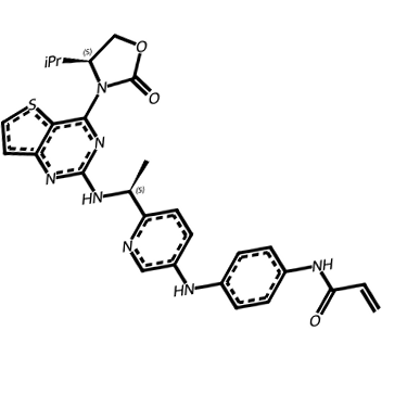 C=CC(=O)Nc1ccc(Nc2ccc([C@H](C)Nc3nc(N4C(=O)OC[C@@H]4C(C)C)c4sccc4n3)nc2)cc1